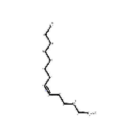 CCCCCCCCCOCC/C=C\CCCCCCBr